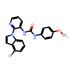 O=C(Nc1ccc(OC(F)(F)F)cc1)Nc1cccnc1-n1ccc2c(Cl)cccc21